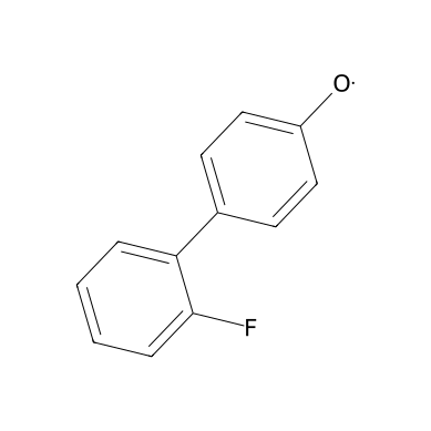 [O]c1ccc(-c2ccccc2F)cc1